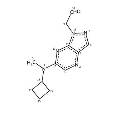 CN(c1cnc2cnn(CC=O)c2n1)C1CCC1